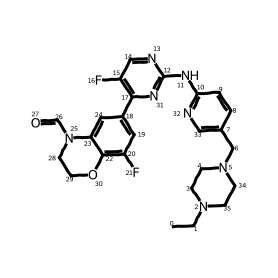 CCN1CCN(Cc2ccc(Nc3ncc(F)c(-c4cc(F)c5c(c4)N(C=O)CCO5)n3)nc2)CC1